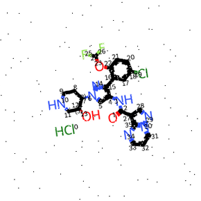 Cl.O=C(Nc1cn([C@@H]2CCNC[C@@H]2O)nc1-c1cc(Cl)ccc1OC(F)F)c1cnn2cccnc12